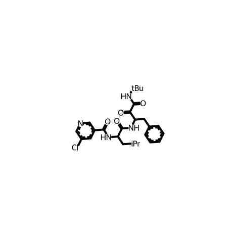 CC(C)CC(NC(=O)c1cncc(Cl)c1)C(=O)NC(Cc1ccccc1)C(=O)C(=O)NC(C)(C)C